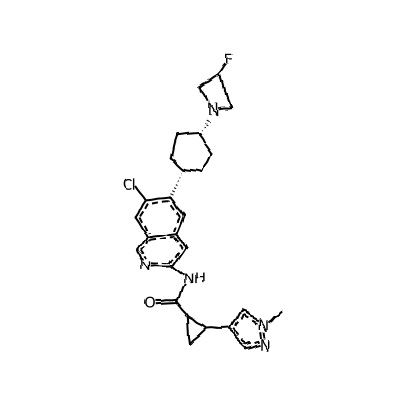 Cn1cc(C2CC2C(=O)Nc2cc3cc([C@H]4CC[C@@H](N5CC(F)C5)CC4)c(Cl)cc3cn2)cn1